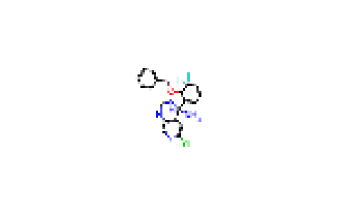 NC1(C2=CC=CC(F)(F)C2OCc2ccccc2)NC=Nc2cnc(Cl)cc21